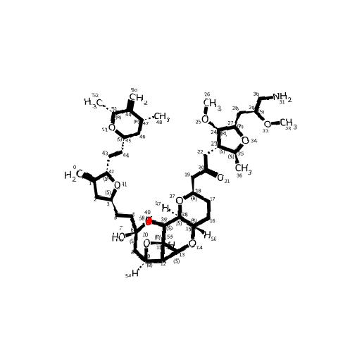 C=C1C[C@H](CC[C@@]2(O)C[C@H]3O[C@]45C3[C@@H]4O[C@H]3CC[C@H](CC(=O)C[C@@H]4[C@@H](OC)[C@@H](C[C@@H](CN)OC)O[C@H]4C)O[C@@H]3[C@@H]5O2)O[C@H]1CC[C@H]1C[C@@H](C)C(=C)[C@@H](C)O1